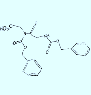 O=C(O)CN(C(=O)CNC(=O)OCc1ccccc1)C(=O)OCc1ccccc1